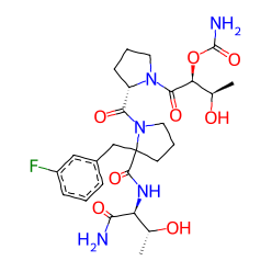 C[C@@H](O)[C@H](NC(=O)C1(Cc2cccc(F)c2)CCCN1C(=O)[C@@H]1CCCN1C(=O)[C@@H](OC(N)=O)[C@@H](C)O)C(N)=O